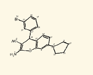 N#CC1=C(N)Oc2cc(N3CCCC3)ccc2C1c1cccc(Br)c1